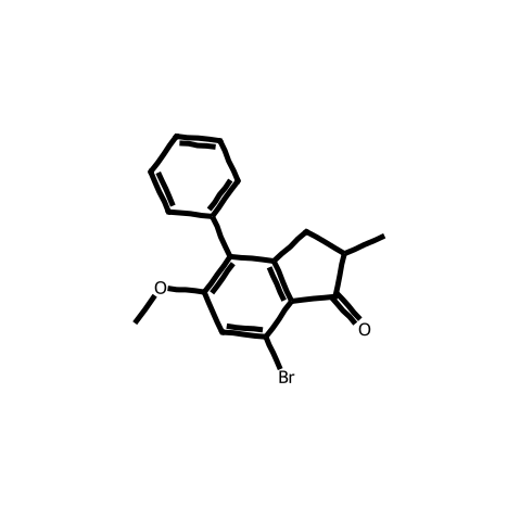 COc1cc(Br)c2c(c1-c1ccccc1)CC(C)C2=O